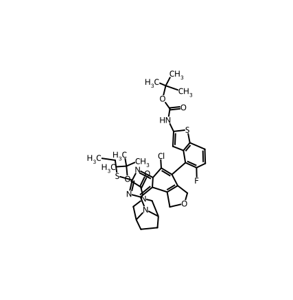 CCSc1nc(N2C3CCC2CN(C(=O)OC(C)(C)C)C3)c2c3c(c(-c4c(F)ccc5sc(NC(=O)OC(C)(C)C)cc45)c(Cl)c2n1)COC3